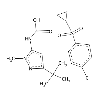 Cn1nc(C(C)(C)C)cc1NC(=O)O.O=S(=O)(c1ccc(Cl)cc1)C1CC1